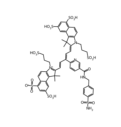 CC1(C)C(/C=C/C(=C/C=C2/N(CCCS(=O)(=O)O)c3ccc4c(S(=O)(=O)O)cc(S(=O)(=O)O)cc4c3C2(C)C)c2ccc(C(=O)NCc3ccc(S(N)(=O)=O)cc3)cn2)=[N+](CCCS(=O)(=O)O)c2ccc3c(S(=O)(=O)[O-])cc(S(=O)(=O)O)cc3c21